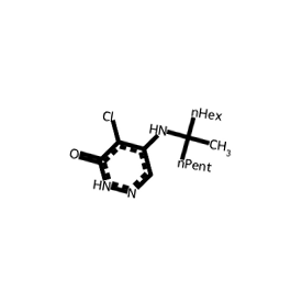 CCCCCCC(C)(CCCCC)Nc1cn[nH]c(=O)c1Cl